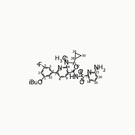 CC(C)COc1cc(F)cc(-c2ccc(C(=O)NS(=O)(=O)c3cccc(N)n3)c(N(C)CC3CC3)n2)c1